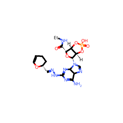 CCNC(=O)[C@H]1O[C@@H](N2C=NC3C(N)=NC(N/N=C/[C@H]4CCC=CO4)=NC32)[C@@H]2OP(=O)(O)O[C@@H]21